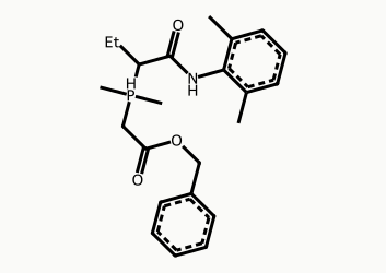 CCC(C(=O)Nc1c(C)cccc1C)[PH](C)(C)CC(=O)OCc1ccccc1